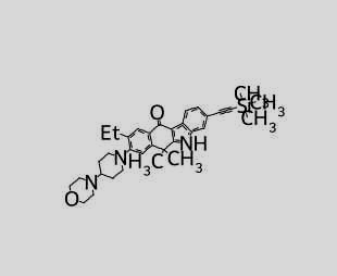 CCc1cc2c(cc1N1CCC(N3CCOCC3)CC1)C(C)(C)c1[nH]c3cc(C#C[Si](C)(C)C)ccc3c1C2=O